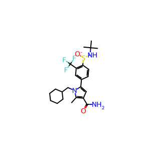 Cc1c(C(N)=O)cc(-c2ccc([S+]([O-])NC(C)(C)C)c(C(F)(F)F)c2)n1CC1CCCCC1